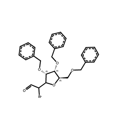 O=CC(Br)C1O[C@H](COCc2ccccc2)[C@@H](OCc2ccccc2)[C@H]1OCc1ccccc1